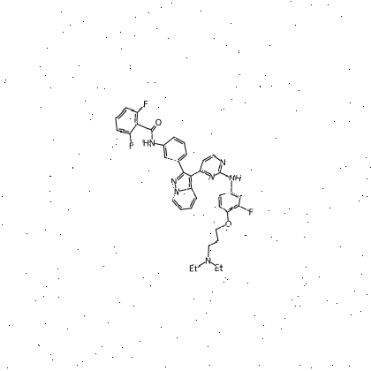 CCN(CC)CCCOc1ccc(Nc2nccc(-c3c(-c4cccc(NC(=O)c5c(F)cccc5F)c4)nn4ccccc34)n2)cc1F